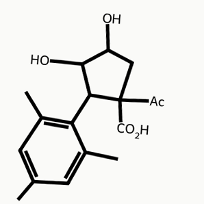 CC(=O)C1(C(=O)O)CC(O)C(O)C1c1c(C)cc(C)cc1C